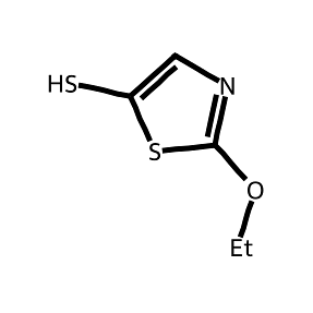 CCOc1ncc(S)s1